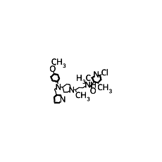 CCOc1ccc(N(Cc2cccnc2)C2CCN([C@H](C)CCNC(=O)c3c(C)cc(Cl)nc3C)CC2)cc1